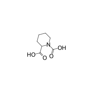 O=C(O)C1CCCCN1C(=O)O